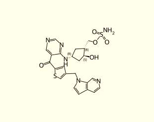 NS(=O)(=O)OC[C@H]1C[C@@H](Nc2ncncc2C(=O)c2cc(Cn3ccc4ccncc43)cs2)C[C@@H]1O